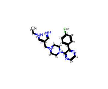 N#CCN/C=C(\C=N)CN1CCN(c2nccnc2-c2ccc(F)cc2)CC1